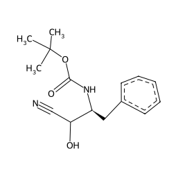 CC(C)(C)OC(=O)N[C@@H](Cc1ccccc1)C(O)C#N